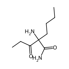 CCCCC(N)(C(N)=O)C(=O)CC